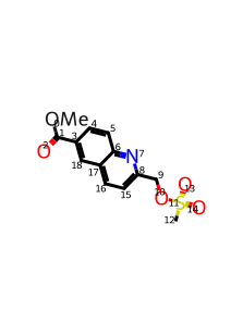 COC(=O)c1ccc2nc(COS(C)(=O)=O)ccc2c1